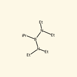 CCN(CC)B(C(C)C)N(CC)CC